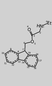 CCNCC(=O)OCC1c2ccccc2-c2ccccc21